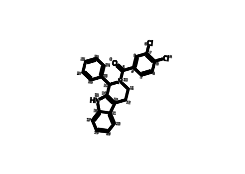 O=C(c1ccc(Cl)c(Cl)c1)N1CCc2c([nH]c3ccccc23)C1c1ccccc1